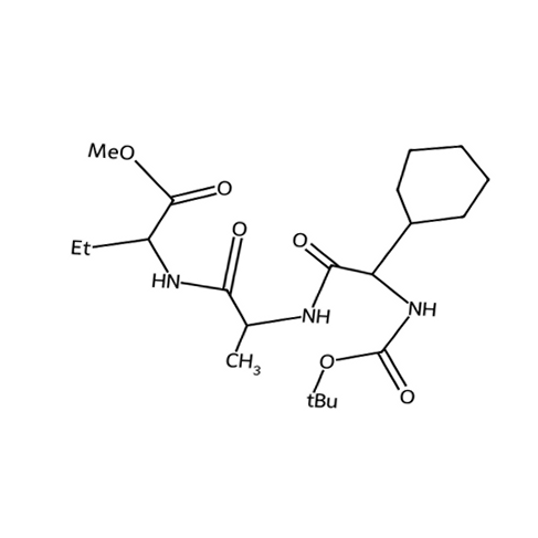 CCC(NC(=O)C(C)NC(=O)C(NC(=O)OC(C)(C)C)C1CCCCC1)C(=O)OC